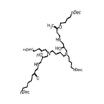 C=C(CCNCC(O)CN(CCCCCCCCCCCCCC)CCCCN(CCCCCCCCCCCCCC)CC(O)CNCCC(=O)CCCCCCCCCCCCCCC)OCCCCCCCCCCCCCC